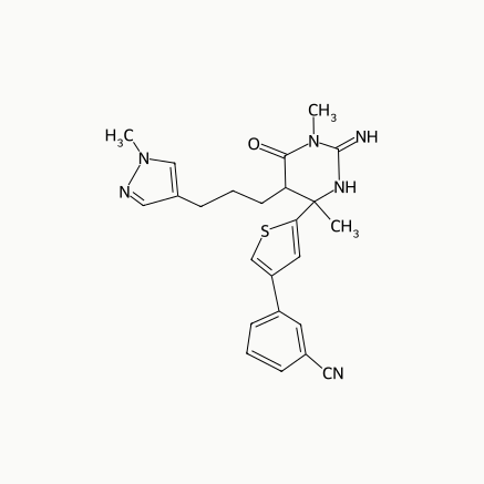 CN1C(=N)NC(C)(c2cc(-c3cccc(C#N)c3)cs2)C(CCCc2cnn(C)c2)C1=O